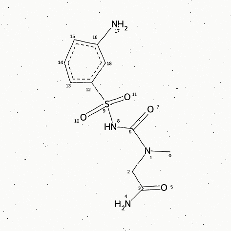 CN(CC(N)=O)C(=O)NS(=O)(=O)c1cccc(N)c1